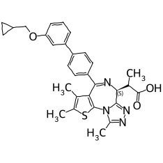 Cc1sc2c(c1C)C(c1ccc(-c3cccc(OCC4CC4)c3)cc1)=N[C@@H](C(C)C(=O)O)c1nnc(C)n1-2